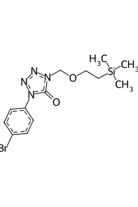 C[Si](C)(C)CCOCn1nnn(-c2ccc(Br)cc2)c1=O